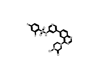 CCN1CCN(c2ncnc3ccc(-c4cncc(NS(=O)(=O)c5ccc(F)cc5F)c4)cc23)CC1=O